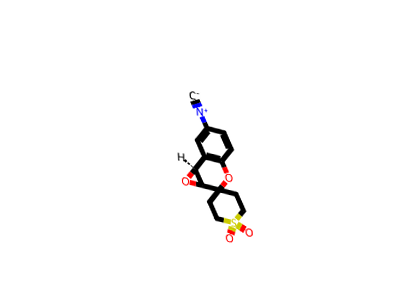 [C-]#[N+]c1ccc2c(c1)[C@@H]1OC1C1(CCS(=O)(=O)CC1)O2